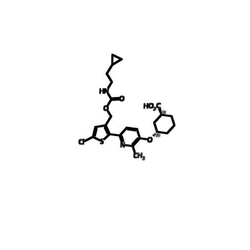 Cc1nc(-c2sc(Cl)cc2COC(=O)NCCC2CC2)ccc1O[C@H]1CCC[C@H](C(=O)O)C1